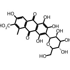 Cc1c(C(=O)O)c(O)cc2c1C(=O)c1c(O)c([C@@H]3OC(CO)[C@@H](O)C(O)[C@@H]3O)c(O)c(O)c1C2=O